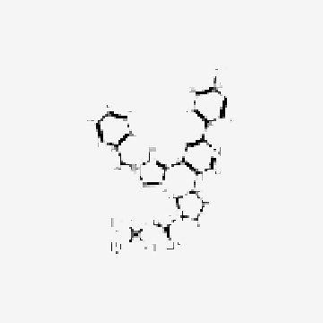 CC(C)(C)OC(=O)N1CCC(c2cnc(-c3ccc(F)cc3)cc2-c2ccn(Cc3ccccc3)n2)C1